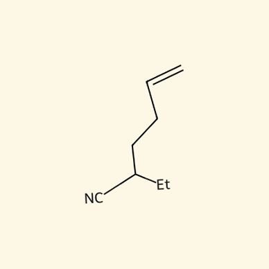 C=CCCC(C#N)CC